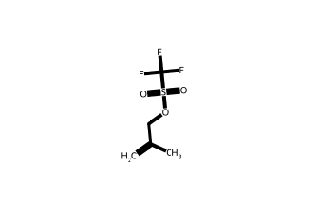 C=C(C)COS(=O)(=O)C(F)(F)F